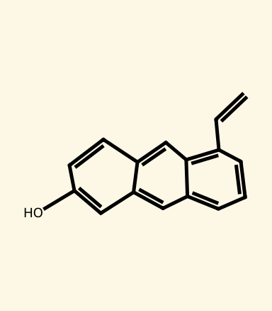 C=Cc1cccc2cc3cc(O)ccc3cc12